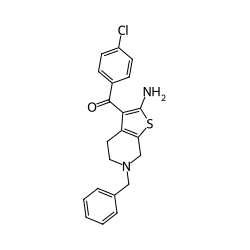 Nc1sc2c(c1C(=O)c1ccc(Cl)cc1)CCN(Cc1ccccc1)C2